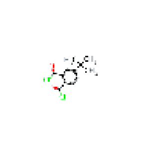 CC(C)(C)c1ccc(C(=O)Cl)c(C(=O)Cl)c1